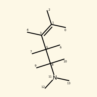 CC(C)=C(C)C(C)(C)C(C)(C)N(C)C